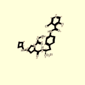 CCOC(=O)[C@H](Cc1ccc(NC(=O)c2c(Cl)cncc2Cl)cc1)NC(=O)C1C[C@@H](NC2CCC2)CN1C(=O)OC(C)(C)C